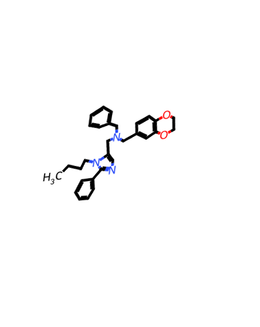 CCCCn1c(CN(Cc2ccccc2)Cc2ccc3c(c2)OCCO3)cnc1-c1ccccc1